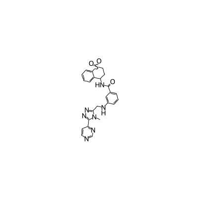 Cn1c(CNc2cccc(C(=O)NC3CCS(=O)(=O)c4ccccc43)c2)nnc1-c1ccncn1